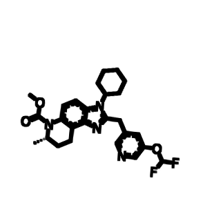 COC(=O)N1c2ccc3c(nc(Cc4cncc(OC(F)F)c4)n3C3CCCCC3)c2CC[C@@H]1C